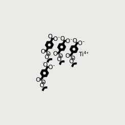 CC(C)OOC(=O)c1ccc(C(=O)[O-])cc1.CC(C)OOC(=O)c1ccc(C(=O)[O-])cc1.CC(C)OOC(=O)c1ccc(C(=O)[O-])cc1.CC(C)OOC(=O)c1ccc(C(=O)[O-])cc1.[Ti+4]